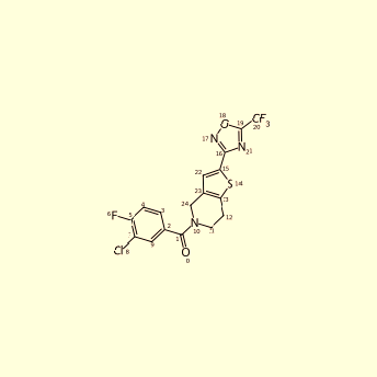 O=C(c1ccc(F)c(Cl)c1)N1CCc2sc(-c3noc(C(F)(F)F)n3)cc2C1